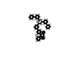 c1ccc(-c2cccc(C3=NC(c4cccc(-c5ccccc5)c4)=NC(c4cccc(-c5ccc6c(c5)Oc5ccccc5C65c6ccccc6-c6ccccc65)c4)C3)c2)cc1